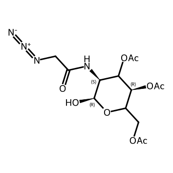 CC(=O)OCC1O[C@@H](O)[C@@H](NC(=O)CN=[N+]=[N-])C(OC(C)=O)[C@H]1OC(C)=O